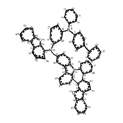 c1ccc(-c2ccc(N(c3ccccc3)c3cccc(N(c4ccc5c(c4)c4cccc6c4n5-c4ccccc4-c4ccc5c(oc7ccccc75)c4-6)c4cccc5c4oc4ccccc45)c3)cc2)cc1